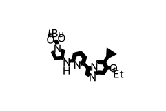 CCOc1cc2ncc(-c3cccc(NC4CCN(C(=O)OC(C)(C)C)C4)n3)n2cc1C1CC1